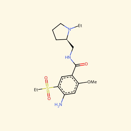 CCN1CCC[C@@H]1CNC(=O)c1cc(S(=O)(=O)CC)c(N)cc1OC